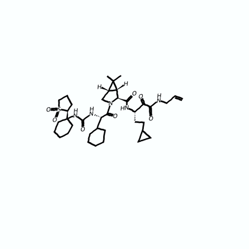 C=CCNC(=O)C(=O)[C@H](CCC1CC1)NC(=O)[C@@H]1[C@@H]2[C@H](CN1C(=O)[C@@H](NC(=O)NC1([C@@H]3CCCS3(=O)=O)CCCCC1)C1CCCCC1)C2(C)C